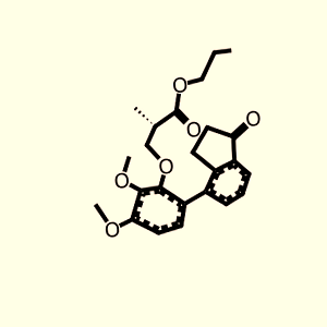 CCCOC(=O)[C@@H](C)COc1c(-c2cccc3c2CCC3=O)ccc(OC)c1OC